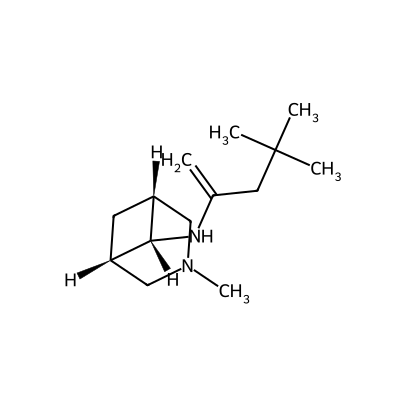 C=C(CC(C)(C)C)N[C@H]1[C@@H]2C[C@H]1CN(C)C2